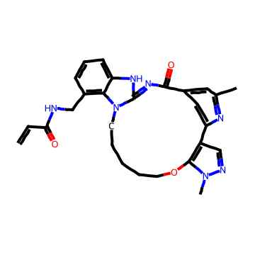 C=CC(=O)NCc1cccc2c1N1CCCCCOc3c(cnn3C)-c3cc(cc(C)n3)C(=O)/N=C/1N2